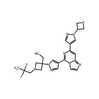 N#CCC1(n2cc(-c3nc(-c4cnn(C5COC5)c4)cc4nccn34)cn2)CN(CC(F)(F)C(F)(F)F)C1